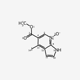 COC(=O)c1c[n+]([O-])c2[nH]ccc2c1I